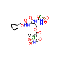 COC(=O)OCC1C(NC(=O)OCc2ccccc2)C(=O)N1C(=O)NS(=O)(=O)Cl.O=C=NS(=O)(=O)Cl